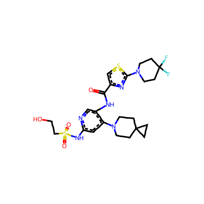 O=C(Nc1cnc(NS(=O)(=O)CCO)cc1N1CCC2(CC1)CC2)c1csc(N2CCC(F)(F)CC2)n1